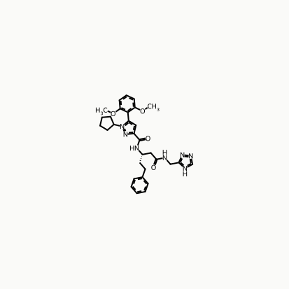 COc1cccc(OC)c1-c1cc(C(=O)N[C@@H](CCc2ccccc2)CC(=O)NCc2nnc[nH]2)nn1C1CCCC1